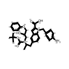 CC(Cc1ccc2c(c1)cc(C(=O)O)n2Cc1ccc(N)cc1)N(CC(O)COc1ccccc1)C(=O)OC(C)(C)C